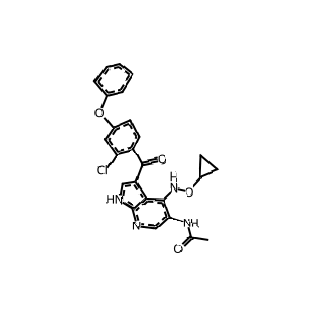 CC(=O)Nc1cnc2[nH]cc(C(=O)c3ccc(Oc4ccccc4)cc3Cl)c2c1NOC1CC1